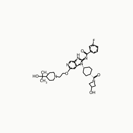 CC(C)(O)C1CCN(CCOc2cc3c(cn2)[nH]/c(=N\C(=O)c2cccc(F)c2)n3[C@H]2CC[C@@H](C(=O)N3CC(O)C3)CC2)CC1